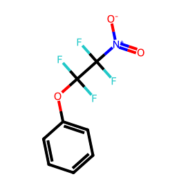 O=[N+]([O-])C(F)(F)C(F)(F)Oc1ccccc1